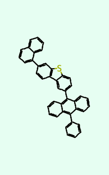 c1ccc(-c2c3ccccc3c(-c3ccc4sc5cc(-c6cccc7ccccc67)ccc5c4c3)c3ccccc23)cc1